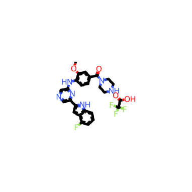 COc1cc(C(=O)N2CCNCC2)ccc1Nc1cncc(-c2cc3c(F)cccc3[nH]2)n1.O=C(O)C(F)(F)F